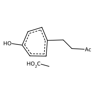 CC(=O)CCc1ccc(O)cc1.CC(=O)O